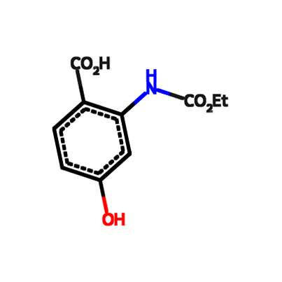 CCOC(=O)Nc1cc(O)ccc1C(=O)O